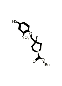 CC(C)(C)OC(=O)N1CCC(F)(COc2ccc(S)cc2[N+](=O)[O-])CC1